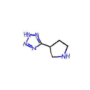 C1CC(c2nn[nH]n2)CN1